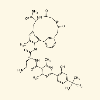 Cc1cc2cc(c1NC(=O)[C@H](CCN)NC(=O)c1c(C)nc(-c3ccc(C(C)(C)C)cc3O)nc1C)-c1cccc(c1)CC(=O)NCC(=O)NC(C(N)=O)C2